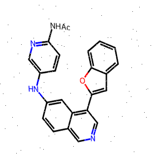 CC(=O)Nc1ccc(Nc2ccc3cncc(-c4cc5ccccc5o4)c3c2)cn1